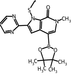 Cn1cc(B2OC(C)(C)C(C)(C)O2)c2cc(-c3ncccn3)n(SI)c2c1=O